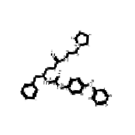 O=C(CCC(Cc1ccccc1)NC(=O)Nc1ccc(Oc2ccccc2)cc1)NCCN1CCCC1